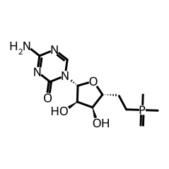 C=P(C)(C)CC[C@H]1O[C@@H](n2cnc(N)nc2=O)[C@H](O)[C@@H]1O